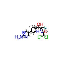 Nc1ncc(-c2ccc([C@@H](O)[C@@H](CF)NC(=O)C(Cl)Cl)cc2)cn1